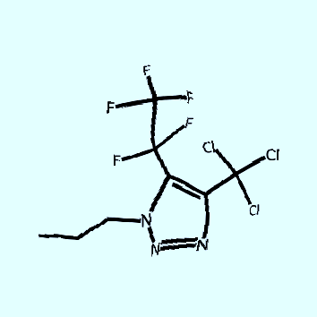 CCCn1nnc(C(Cl)(Cl)Cl)c1C(F)(F)C(F)(F)F